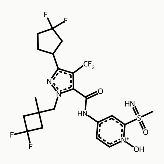 CC1(Cn2nc(C3CCC(F)(F)C3)c(C(F)(F)F)c2C(=O)Nc2cc[n+](O)c(S(C)(=N)=O)c2)CC(F)(F)C1